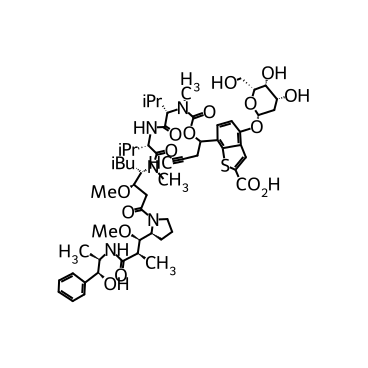 C#CCC(OC(=O)N(C)[C@H](C(=O)N[C@H](C(=O)N(C)[C@@H]([C@@H](C)CC)[C@@H](CC(=O)N1CCC[C@H]1[C@H](OC)[C@@H](C)C(=O)N[C@H](C)[C@@H](O)c1ccccc1)OC)C(C)C)C(C)C)c1ccc(O[C@H]2C[C@@H](O)[C@@H](O)[C@@H](CO)O2)c2cc(C(=O)O)sc12